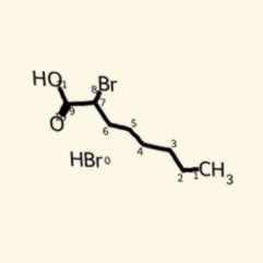 Br.CCCCCCC(Br)C(=O)O